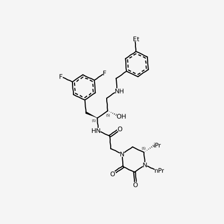 CCCN1C(=O)C(=O)N(CC(=O)N[C@@H](Cc2cc(F)cc(F)c2)[C@@H](O)CNCc2cccc(CC)c2)C[C@@H]1C(C)C